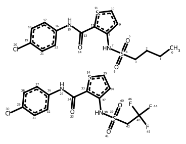 CCCCS(=O)(=O)Nc1ccsc1C(=O)Nc1ccc(Cl)cc1.O=C(Nc1ccc(Cl)cc1)c1sccc1NS(=O)(=O)CC(F)(F)F